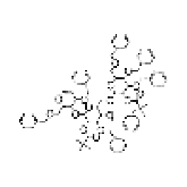 CC(C)(C)C(=O)O[C@@H]1C(OCC2OC(O[C@H]3C(OCc4ccccc4)C=COC3COCc3ccccc3)[C@H](OC(=O)C(C)(C)C)C(OCc3ccccc3)[C@H]2OCc2ccccc2)OC(COCc2ccccc2)[C@H](OCc2ccccc2)C1OCc1ccccc1